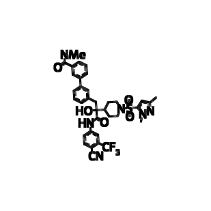 CNC(=O)c1cccc(-c2cccc(CC(O)(C(=O)Nc3ccc(C#N)c(C(F)(F)F)c3)C3CCN(S(=O)(=O)c4cc(C)nn4C)CC3)c2)c1